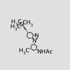 CC(=O)Nc1cc(C)cc(-n2cnc3cc(C#C[Si](C)(C)C)ccc32)c1